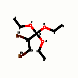 CCO[Si](OCC)(OCC)C(Br)CBr